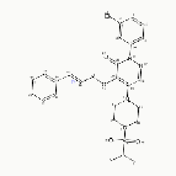 CC(C)S(=O)(=O)N1CCN(c2cnn(-c3cccc(Cl)c3)c(=O)c2OC/C=C/c2ccccc2)CC1